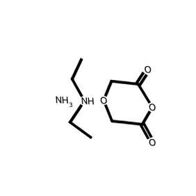 CCNCC.N.O=C1COCC(=O)O1